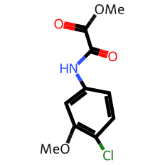 COC(=O)C(=O)Nc1ccc(Cl)c(OC)c1